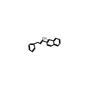 CC(=CCc1ccccc1)c1ccc2ccccc2c1